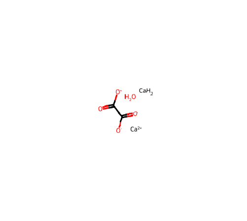 O.O=C([O-])C(=O)[O-].[Ca+2].[CaH2]